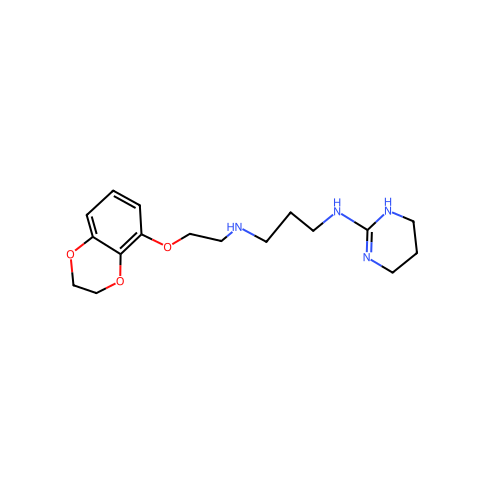 c1cc(OCCNCCCNC2=NCCCN2)c2c(c1)OCCO2